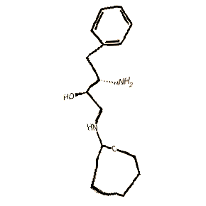 N[C@@H](Cc1ccccc1)[C@H](O)CNC1CCCCCCC1